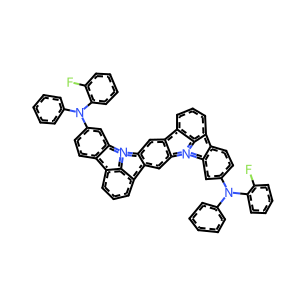 Fc1ccccc1N(c1ccccc1)c1ccc2c3cccc4c5cc6c(cc5n(c2c1)c34)c1cccc2c3ccc(N(c4ccccc4)c4ccccc4F)cc3n6c21